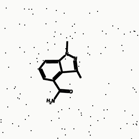 Cc1nn(C)c2c[c]cc(C(N)=O)c12